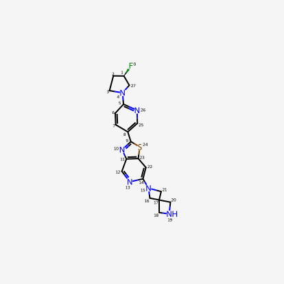 F[C@@H]1CCN(c2ccc(-c3nc4cnc(N5CC6(CNC6)C5)cc4s3)cn2)C1